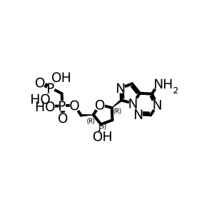 Nc1ncnn2c([C@H]3C[C@H](O)[C@@H](COP(=O)(O)CP(=O)(O)O)O3)ncc12